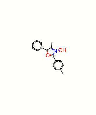 Cc1ccc(-c2oc(-c3ccccc3)c(C)[n+]2O)cc1